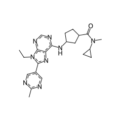 CCn1c(-c2cnc(C)nc2)nc2c(NC3CCC(C(=O)N(C)C4CC4)C3)ncnc21